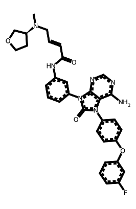 CN(C/C=C/C(=O)Nc1cccc(-n2c(=O)n(-c3ccc(Oc4cccc(F)c4)cc3)c3c(N)ncnc32)c1)[C@H]1CCOC1